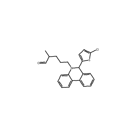 CC(C=O)CCCN1c2ccccc2-c2ccccc2C1c1ccc(Cl)s1